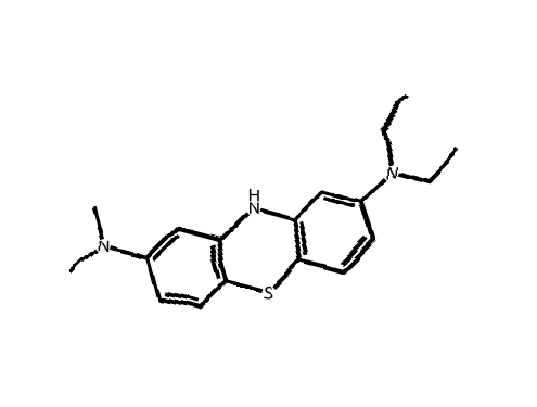 CCN(CC)c1ccc2c(c1)Nc1cc(N(C)C)ccc1S2